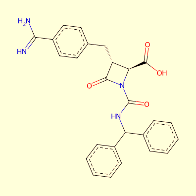 N=C(N)c1ccc(C[C@H]2C(=O)N(C(=O)NC(c3ccccc3)c3ccccc3)[C@@H]2C(=O)O)cc1